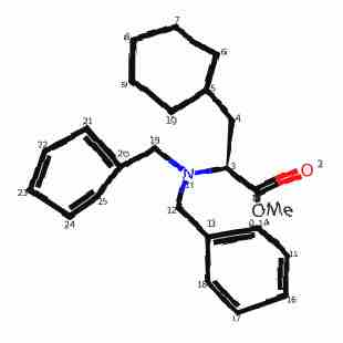 COC(=O)[C@H](CC1CCCCC1)N(Cc1ccccc1)Cc1ccccc1